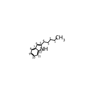 CCCCCc1cc2ccccc2[nH]1